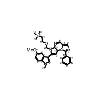 COc1ccc2c(c1)c(C1=CC3C(N=Cc4cnc(-c5ccccc5)n43)N1COCC[Si](C)(C)C)cn2C